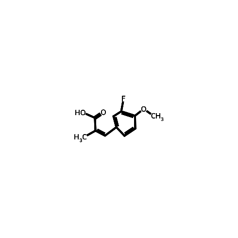 COc1ccc(C=C(C)C(=O)O)cc1F